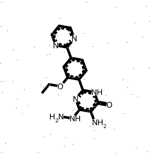 CCOc1cc(-c2ncccn2)ccc1-c1nc(NN)c(N)c(=O)[nH]1